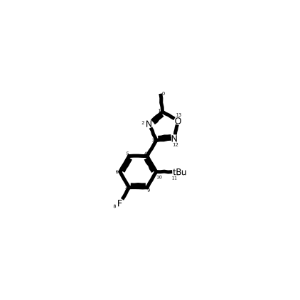 Cc1nc(-c2ccc(F)cc2C(C)(C)C)no1